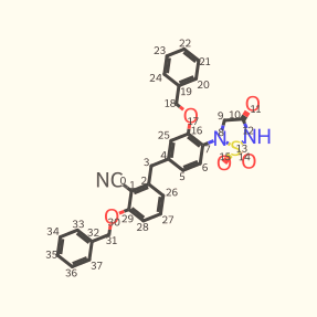 N#Cc1c(Cc2ccc(N3CC(=O)NS3(=O)=O)c(OCc3ccccc3)c2)cccc1OCc1ccccc1